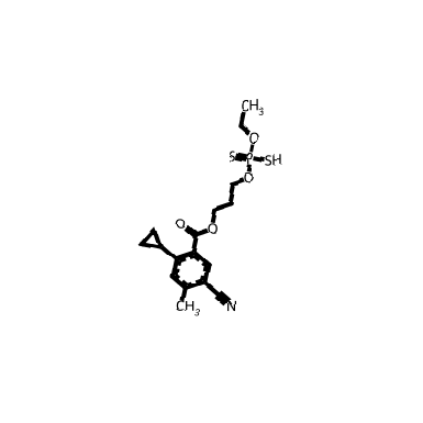 CCOP(=S)(S)OCCCOC(=O)c1cc(C#N)c(C)cc1C1CC1